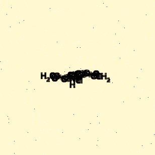 C=CC(=O)OCCCCOc1ccc(C(=O)Nc2cc(Cl)c(OC(=O)c3ccc(OCCCCOC(=O)C=C)cc3)c(Cl)c2Cl)cc1